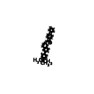 CC(C)(C)c1ccc(-c2ccc3c(c2)CCN(CC(=O)N2CCN(C4CCCC4)CC2)C3)cc1